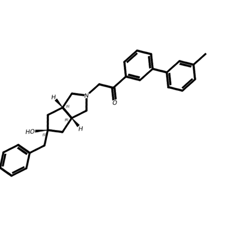 Cc1cccc(-c2cccc(C(=O)CN3C[C@@H]4C[C@](O)(Cc5ccccc5)C[C@@H]4C3)c2)c1